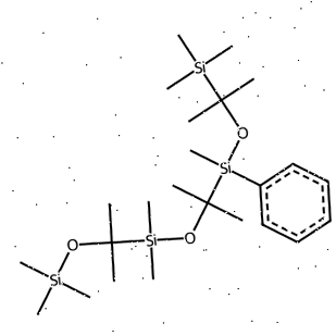 CC(C)(O[Si](C)(c1ccccc1)C(C)(C)O[Si](C)(C)C(C)(C)O[Si](C)(C)C)[Si](C)(C)C